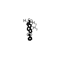 CC(=O)C1CCC2C3CCC4CC(OC(=O)c5ccccc5)CCC4(C)C3CCC12C